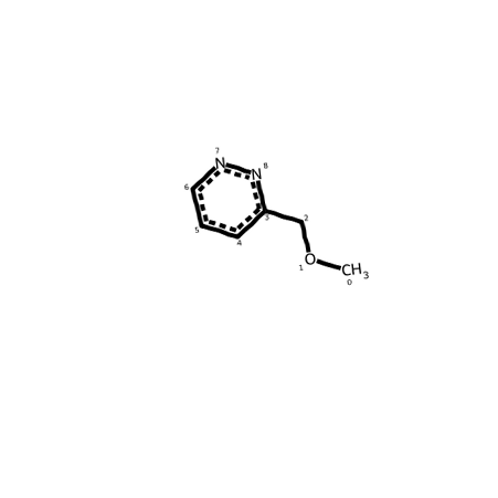 COCc1cccnn1